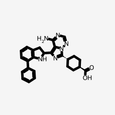 Nc1ncnn2c1c(C1Cc3cccc(-c4ccccc4)c3N1)nc2[C@H]1CC[C@H](C(=O)O)CC1